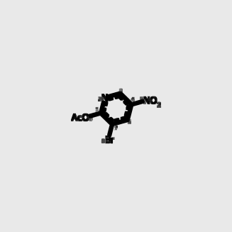 CC(=O)Oc1ncc([N+](=O)[O-])cc1Br